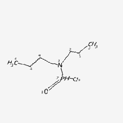 CCCN(CCC)[PH](=O)Cl